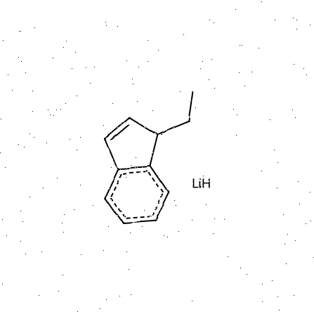 CC[C]1C=Cc2ccccc21.[LiH]